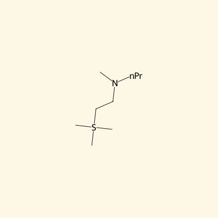 CCCN(C)CCS(C)(C)C